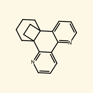 c1cnc2c(c1)-c1ncccc1C13CCCCC21CC3